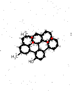 Cc1cc(-c2c(O)ccc(-c3ccccc3)c2-c2cc(C)cc3cccnc23)c2ncccc2c1